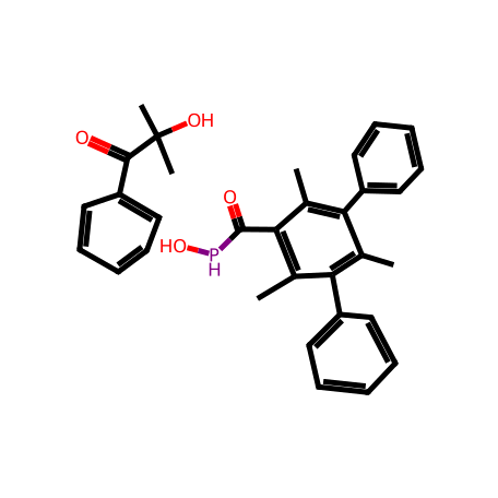 CC(C)(O)C(=O)c1ccccc1.Cc1c(C(=O)PO)c(C)c(-c2ccccc2)c(C)c1-c1ccccc1